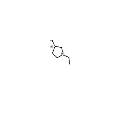 [CH2][C@@H]1CCN(CC)C1